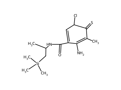 CC1=C(N)C(C(=O)NC(C)C[Si](C)(C)C)=CC(Cl)C1=S